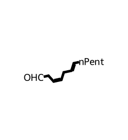 CCCCCC=CC/C=C\CC=O